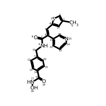 Cc1csc(C=C(C(=O)NCc2ccc(C(=O)NO)cc2)c2cccnc2)c1